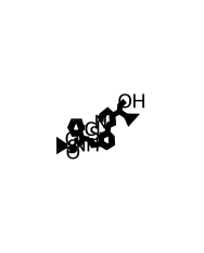 O=S(=O)(NC(c1cc2cccc(-c3cc(C(CO)C4CC4)ccn3)c2s1)c1ccccc1Cl)C1CC1